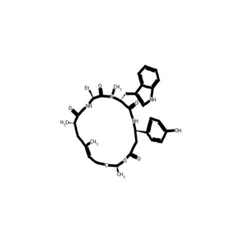 CC[C@@H]1NC(=O)[C@@H](C)C/C(C)=C/CC[C@H](C)OC(=O)C[C@H](c2ccc(O)cc2)NC(=O)[C@@H](Cc2c[nH]c3ccccc23)N(C)C1=O